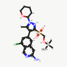 Cc1c(-c2cc(Cl)c3cnc(N)cc3c2)c(S(=O)(=O)CO[Si](C)(C)C(C)(C)C)nn1C1CCCCO1